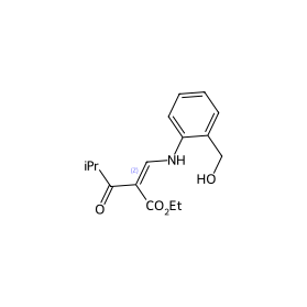 CCOC(=O)/C(=C\Nc1ccccc1CO)C(=O)C(C)C